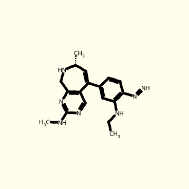 CCNc1cc(C2=C[C@@H](C)NCc3nc(NC)ncc32)ccc1N=N